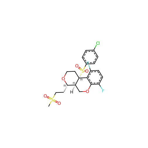 CS(=O)(=O)CC[C@@H]1OCC[C@@]2(S(=O)(=O)c3ccc(Cl)cc3)c3c(F)ccc(F)c3OC[C@@H]12